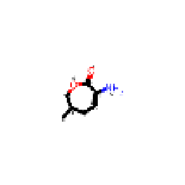 CC1CC=C(N)C(=O)OC1